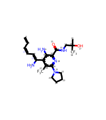 C=C/C=C\C=C(/N)c1c(N)c(C(=O)NCC(C)(O)C(F)(F)F)nc(N2CCCC2)c1C(F)(F)F